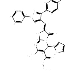 COC(=O)C1=C(C)N=c2s/c(=C\c3cn(-c4ccccc4)nc3-c3ccc(F)cc3)c(=O)n2C1c1cccs1